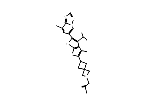 CC(=O)CN1CC2(CC(c3sc4[nH]c(-c5cc(C)c6ncnn6c5)c(C(C)C)c4c3C)C2)C1